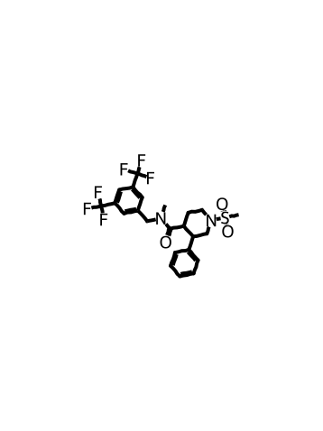 CN(Cc1cc(C(F)(F)F)cc(C(F)(F)F)c1)C(=O)C1CCN(S(C)(=O)=O)CC1c1ccccc1